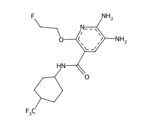 Nc1cc(C(=O)NC2CCC(C(F)(F)F)CC2)c(OCCF)nc1N